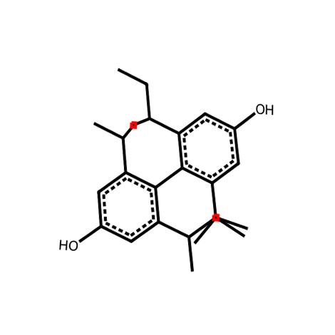 CCC(C)c1cc(O)cc(C(C)C)c1-c1c(C(C)C)cc(O)cc1C(C)CC